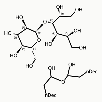 CCCCCCCCCCCC(O)OC(O)CCCCCCCCCCC.OC[C@@H](O)[C@@H](O[C@H]1O[C@H](CO)[C@@H](O)[C@H](O)[C@H]1O)[C@H](O)[C@@H](O)CO